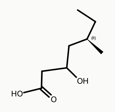 CC[C@@H](C)CC(O)CC(=O)O